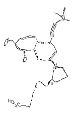 C[Si](C)(C)C#Cc1cc(N2CCC[C@H]2COCCC(=O)O)nc2c(Cl)c(Cl)ccc12